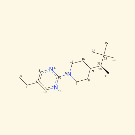 CCc1cnc(N2CCC([C@H](C)C(C)(C)C)CC2)nc1